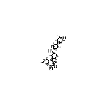 CCN(C)C(=O)c1sc2cnc(Nc3ccc(N4CCNCC4)cn3)cc2c1C1CC2CC2C1